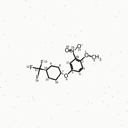 COc1ccc(O[C@H]2CC[C@H](C(F)(F)F)CC2)cc1[N+](=O)[O-]